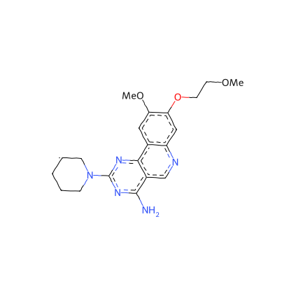 COCCOc1cc2ncc3c(N)nc(N4C[CH]CCC4)nc3c2cc1OC